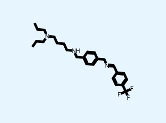 CCCN(CCC)CCCCNCc1ccc(CN=Cc2ccc(C(F)(F)F)cc2)cc1